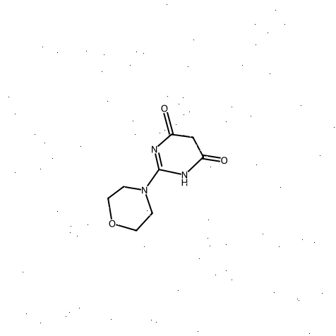 O=C1CC(=O)NC(N2CCOCC2)=N1